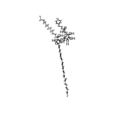 CC#CC#CC#CC#CC#CC#CC#CC#CC#CC#CC#CC#CC(=O)N[C@@H](CO[C@H]1OC(CNC(=O)CCCc2ccccc2)[C@H](O)[C@H](O)C1O)[C@H](O)[C@H](O)CCCCCCCCCCCCCC